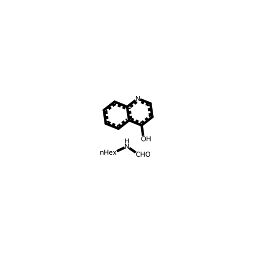 CCCCCCNC=O.Oc1ccnc2ccccc12